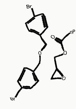 Brc1ccc(COCc2ccc(Br)cc2)cc1.CCCC(=O)OCC1CO1